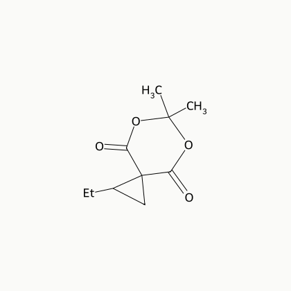 CCC1CC12C(=O)OC(C)(C)OC2=O